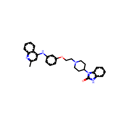 Cc1cc(Nc2cccc(OCCN3CCC(n4c(=O)[nH]c5ccccc54)CC3)c2)c2ccccc2n1